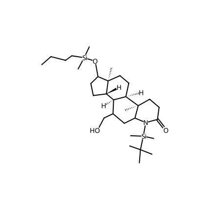 CCCC[Si](C)(C)OC1CC[C@H]2[C@@H]3C(CO)CC4N([Si](C)(C)C(C)(C)C)C(=O)CC[C@]4(C)[C@@H]3CC[C@]12C